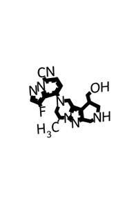 C[C@@H]1CN(c2ccc(C#N)n3ncc(F)c23)Cc2c3c(nn21)CNCC3CO